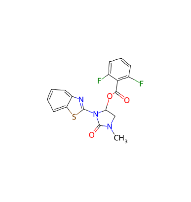 CN1CC(OC(=O)c2c(F)cccc2F)N(c2nc3ccccc3s2)C1=O